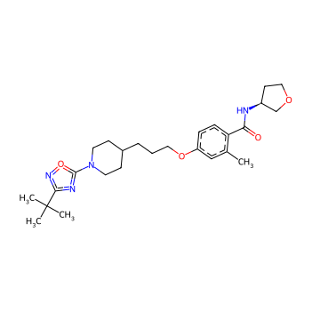 Cc1cc(OCCCC2CCN(c3nc(C(C)(C)C)no3)CC2)ccc1C(=O)N[C@H]1CCOC1